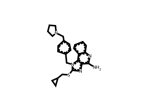 Nc1nc2ccccc2c2c1nc(SCC1CC1)n2Cc1ccc(CN2CCCC2)cc1